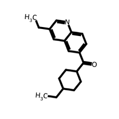 CCc1cnc2ccc(C(=O)C3CCC(CC)CC3)cc2c1